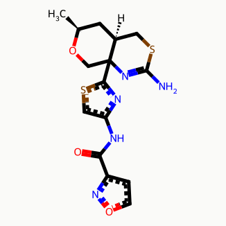 C[C@H]1C[C@H]2CSC(N)=NC2(c2nc(NC(=O)c3ccon3)cs2)CO1